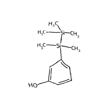 C[Si](C)(C)[Si](C)(C)c1cccc(O)c1